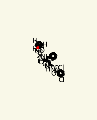 CC(C)C[C@H](NC(=O)C1(Cc2ccccc2)CC(CNS(=O)(=O)c2cc(Cl)ccc2Cl)=NO1)B1O[C@@H]2C[C@@H]3C[C@@H](C3(C)C)[C@]2(C)O1